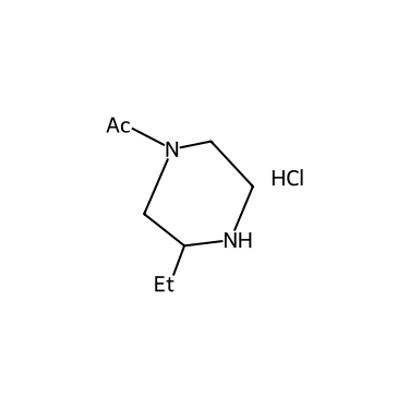 CCC1CN(C(C)=O)CCN1.Cl